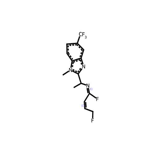 CC(/N=C(F)\C=C/CF)c1nc2cc(C(F)(F)F)ccc2n1C